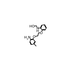 Cc1ccc(N)c(OCCOc2ccccc2NCO)c1